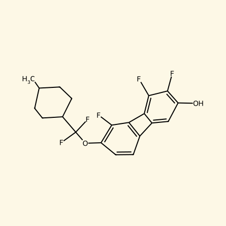 CC1CCC(C(F)(F)Oc2ccc3c(c2F)-c2c-3cc(O)c(F)c2F)CC1